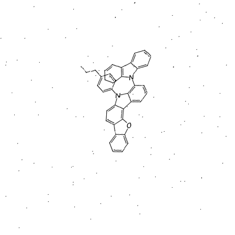 CCCc1ccc(-n2c3ccc4c5ccccc5oc4c3c3cccc(-n4c5c(c6ccccc64)C=CCC5)c32)cc1